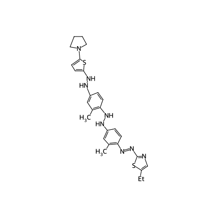 CCc1cnc(/N=N/c2ccc(NNc3ccc(NNc4ccc(N5CCCC5)s4)cc3C)cc2C)s1